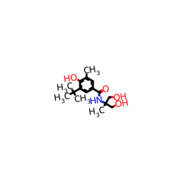 Cc1cc(C(=O)NC(C)(CO)CO)cc(C(C)(C)C)c1O